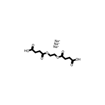 O=C(O)CCC(=O)OCCOC(=O)CCC(=O)O.[Na+].[Na+].[Na+]